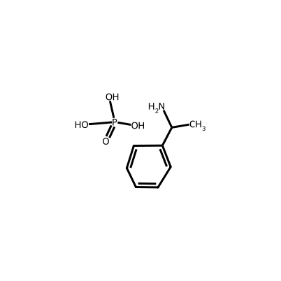 CC(N)c1ccccc1.O=P(O)(O)O